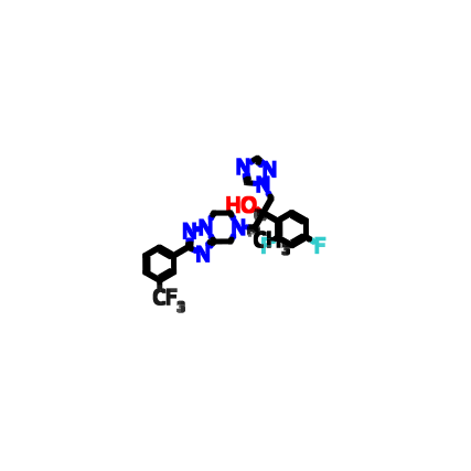 C[C@@H](N1CCn2nc(-c3cccc(C(F)(F)F)c3)nc2C1)[C@](O)(Cn1cncn1)c1ccc(F)cc1F